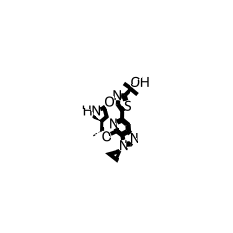 C[C@@H](Oc1nc(-c2cnc(C(C)(C)O)s2)cc2ncn(C3CC3)c12)[C@H]1CNC(=O)C1